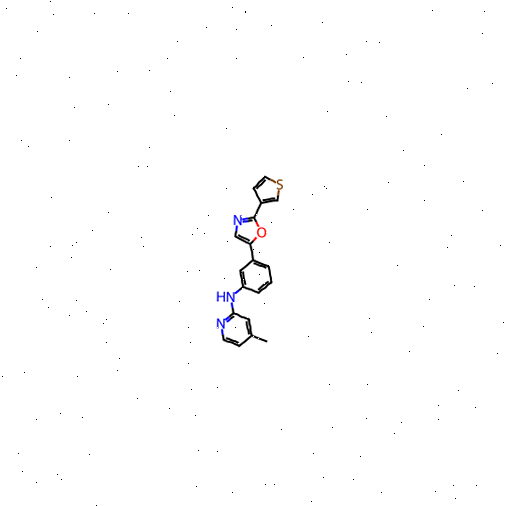 Cc1ccnc(Nc2cccc(-c3cnc(-c4ccsc4)o3)c2)c1